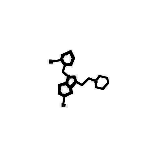 Brc1ccc2c(c1)c(CCN1CCCCC1)cn2Cc1ccccc1Br